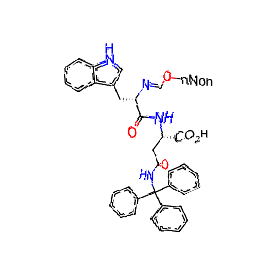 CCCCCCCCCO/C=N/[C@@H](Cc1c[nH]c2ccccc12)C(=O)N[C@@H](CC(=O)NC(c1ccccc1)(c1ccccc1)c1ccccc1)C(=O)O